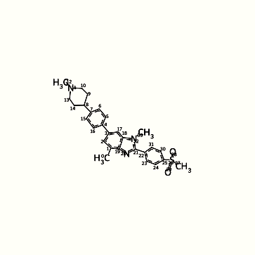 Cc1cc(-c2ccc(C3CCN(C)CC3)cc2)cc2c1nc(-c1ccc(S(C)(=O)=O)cc1)n2C